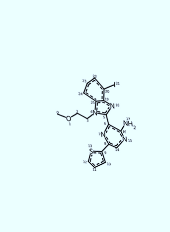 COCCn1c(-c2nc(-c3cccs3)cnc2N)nc2c(I)cccc21